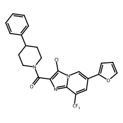 O=C(c1nc2c(C(F)(F)F)cc(-c3ccco3)cn2c1Cl)N1CCC(c2ccccc2)CC1